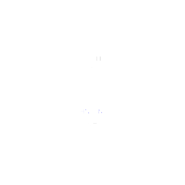 Cc1nc2ccc(-c3ccc(C)o3)cc2[nH]1